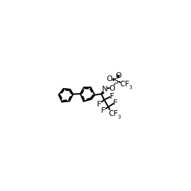 O=S(=O)(ON=C(c1ccc(-c2ccccc2)cc1)C(F)(F)C(F)(F)C(F)(F)F)C(F)(F)F